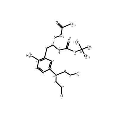 CC(=O)OC[C@@H](Cc1cc(N(CCCl)CCCl)ccc1C)NC(=O)OC(C)(C)C